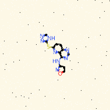 c1nc(Nc2ccon2)c2nc(Sc3nnc[nH]3)ccc2n1